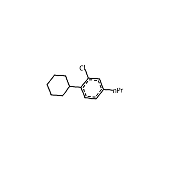 [CH2]CCc1ccc(C2CCCCC2)c(Cl)c1